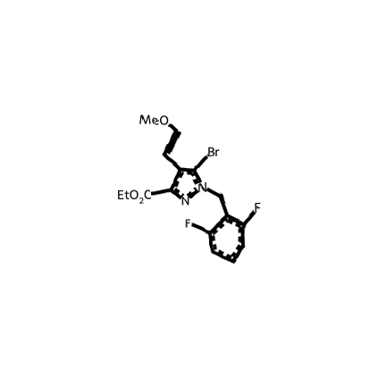 CCOC(=O)c1nn(Cc2c(F)cccc2F)c(Br)c1C=COC